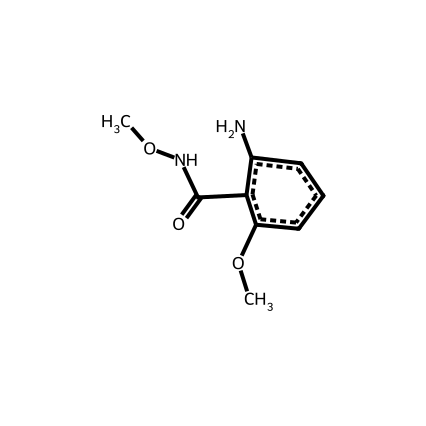 CONC(=O)c1c(N)cccc1OC